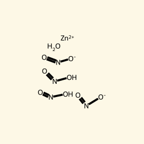 O.O=NO.O=NO.O=N[O-].O=N[O-].[Zn+2]